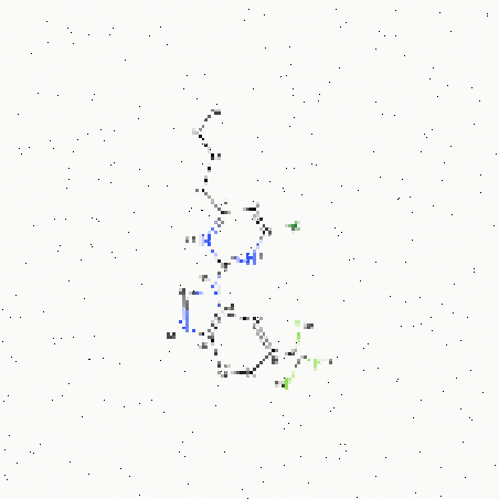 CCCCc1cc(Cl)nc(-n2cnc3ccc(C(F)(F)F)cc32)n1